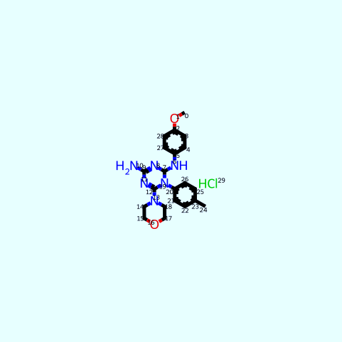 COc1ccc(NC2N=C(N)N=C(N3CCOCC3)N2c2ccc(C)cc2)cc1.Cl